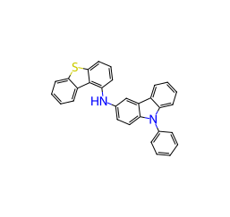 c1ccc(-n2c3ccccc3c3cc(Nc4cccc5sc6ccccc6c45)ccc32)cc1